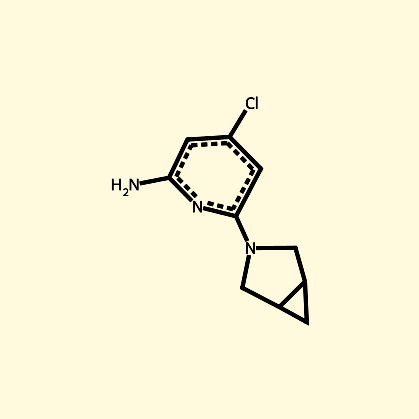 Nc1cc(Cl)cc(N2CC3CC3C2)n1